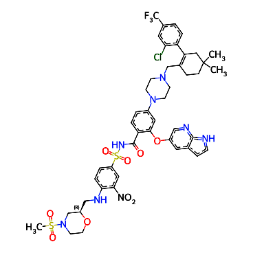 CC1(C)CCC(CN2CCN(c3ccc(C(=O)NS(=O)(=O)c4ccc(NC[C@@H]5CN(S(C)(=O)=O)CCO5)c([N+](=O)[O-])c4)c(Oc4cnc5[nH]ccc5c4)c3)CC2)=C(c2ccc(C(F)(F)F)cc2Cl)C1